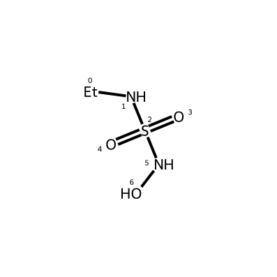 CCNS(=O)(=O)NO